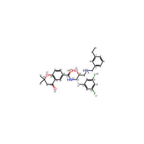 CCc1cccc(CNC[C@H](O)[C@H](Cc2cc(F)cc(F)c2)NC(=O)c2ccc3c(c2)C(=O)CC(C)(C)O3)c1